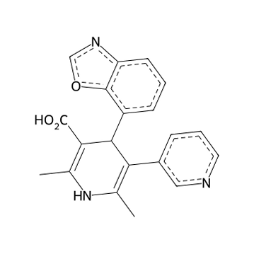 CC1=C(C(=O)O)C(c2cccc3ncoc23)C(c2cccnc2)=C(C)N1